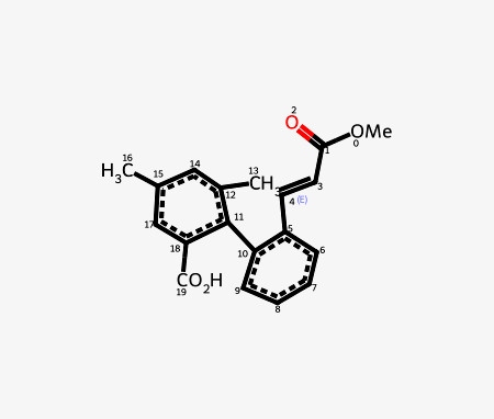 COC(=O)/C=C/c1ccccc1-c1c(C)cc(C)cc1C(=O)O